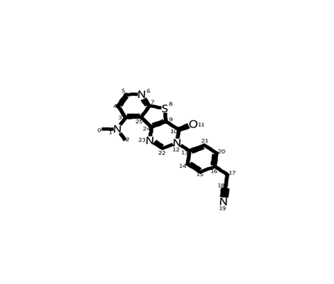 CN(C)c1ccnc2sc3c(=O)n(-c4ccc(CC#N)cc4)cnc3c12